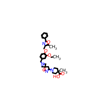 CCOc1cc(CN2CC3(CC(N4CCC(C)(C(=O)O)CC4)=NO3)C2)ccc1OCc1nc(-c2ccccc2)oc1C